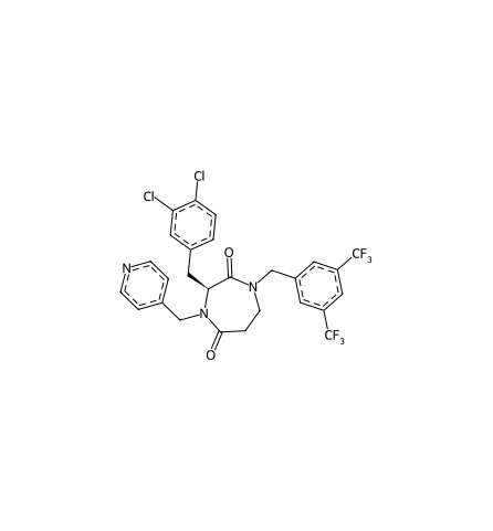 O=C1[C@H](Cc2ccc(Cl)c(Cl)c2)N(Cc2ccncc2)C(=O)CCN1Cc1cc(C(F)(F)F)cc(C(F)(F)F)c1